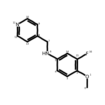 COc1ccc(NCc2ccncc2)cc1F